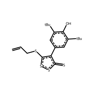 C=CCSc1ssc(=S)c1-c1cc(C(C)(C)C)c(O)c(C(C)(C)C)c1